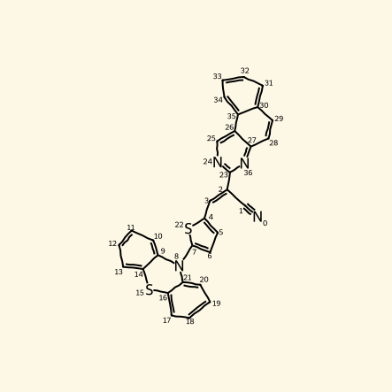 N#C/C(=C\c1ccc(N2c3ccccc3Sc3ccccc32)s1)c1ncc2c(ccc3ccccc32)n1